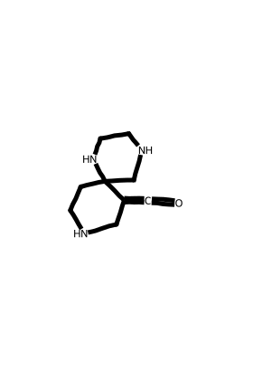 O=C=C1CNCCC12CNCCN2